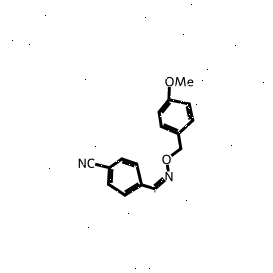 COc1ccc(CO/N=[C]\c2ccc(C#N)cc2)cc1